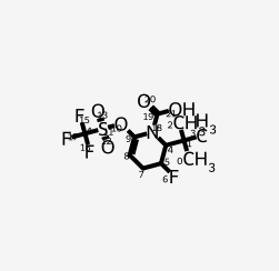 CC(C)(C)C1C(F)CC=C(OS(=O)(=O)C(F)(F)F)N1C(=O)O